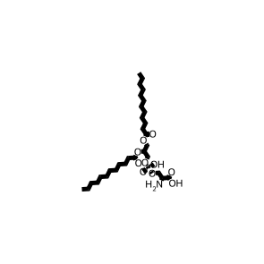 CCCCCCCCCCCC(=O)OCC(COP(=O)(O)OCC(N)C(=O)O)OC(=O)CCCCCCCCCCC